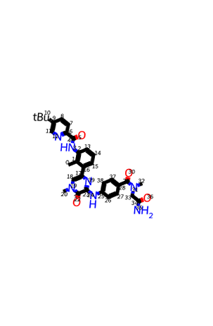 Cc1c(NC(=O)c2ccc(C(C)(C)C)cn2)cccc1-c1cn(C)c(=O)c(Nc2ccc(C(=O)N(C)CC(N)=O)cc2)n1